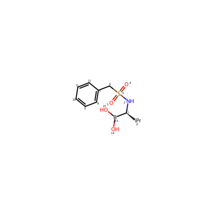 CC(C)[C@H](NS(=O)(=O)Cc1ccccc1)B(O)O